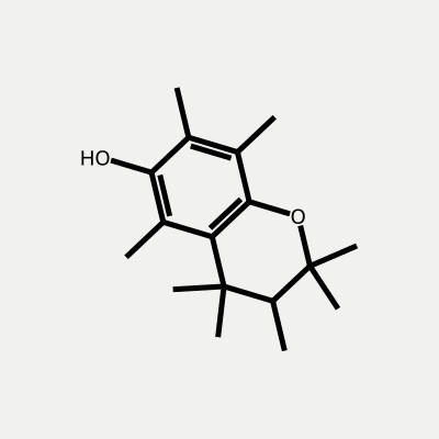 Cc1c(C)c2c(c(C)c1O)C(C)(C)C(C)C(C)(C)O2